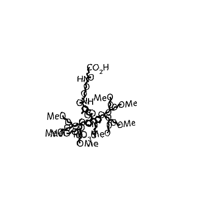 COCCOCC(COCCOC)OCC(COC(COCCOC)COCCOC)Oc1ccc2c(c1)c(C(=O)Oc1c(C)cc(C(=O)NCCOCCOCCNC(=O)CCCC(=O)O)cc1C)c1cc(OC(COC(COCCOC)COCCOC)OC(COCCOC)COCCOC)ccc1[n+]2CCCS(=O)(=O)O